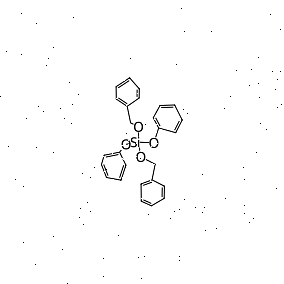 c1ccc(CO[Si](OCc2ccccc2)(Oc2ccccc2)Oc2ccccc2)cc1